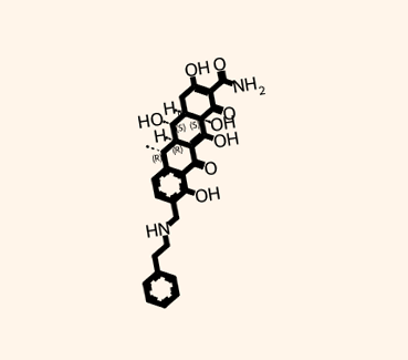 C[C@H]1c2ccc(CNCCc3ccccc3)c(O)c2C(=O)C2=C(O)[C@]3(O)C(=O)C(C(N)=O)=C(O)C[C@@H]3[C@@H](O)[C@@H]21